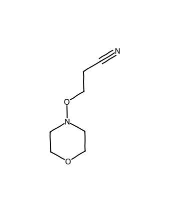 N#CCCON1CCOCC1